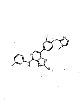 Cc1cccc(Nc2ncc(-c3ccc(Sc4nccn4C)c(Cl)c3)n3nc(N)nc23)c1